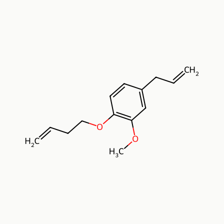 C=CCCOc1ccc(CC=C)cc1OC